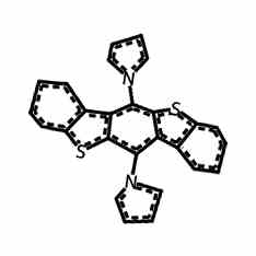 c1ccc2c(c1)sc1c(-n3cccc3)c3c(sc4ccccc43)c(-n3cccc3)c12